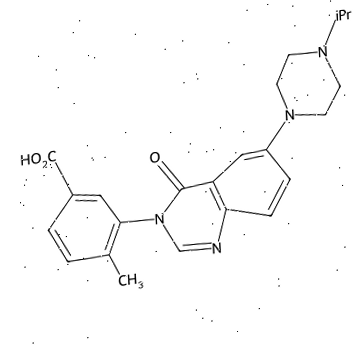 Cc1ccc(C(=O)O)cc1-n1cnc2ccc(N3CCN(C(C)C)CC3)cc2c1=O